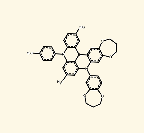 Cc1cc2c3c(c1)N(c1ccc4c(c1)OCCCO4)c1cc4c(cc1B3c1cc(C(C)(C)C)ccc1N2c1ccc(C(C)(C)C)cc1)OCCCO4